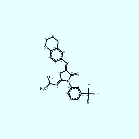 CC(C)/N=C1\S/C(=C\c2ccc3c(c2)OCCO3)C(=O)N1c1cccc(C(F)(F)F)c1